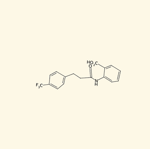 O=C(CCc1ccc(C(F)(F)F)cc1)Nc1ccccc1C(=O)O